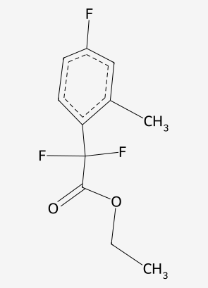 CCOC(=O)C(F)(F)c1ccc(F)cc1C